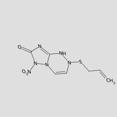 C=CCSN1C=Cn2c(nc(=O)n2[N+](=O)[O-])N1